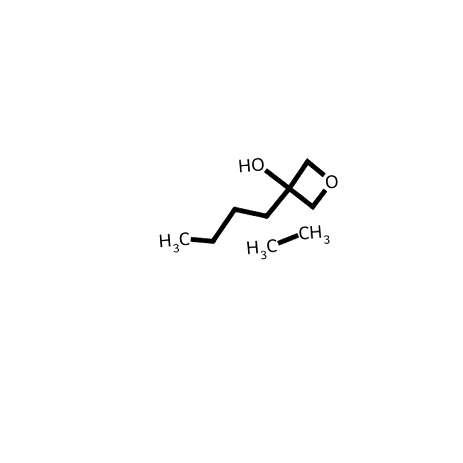 CC.CCCCC1(O)COC1